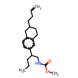 C=CCCC1CCc2cc(C(CCC)CNC(=O)OC)ccc2C1